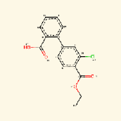 CCOC(=O)c1ccc(-c2ccccc2C(=O)O)cc1Cl